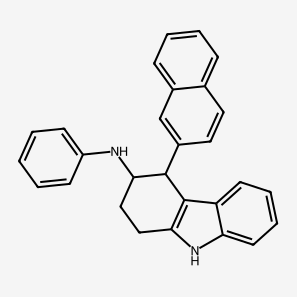 c1ccc(NC2CCc3[nH]c4ccccc4c3C2c2ccc3ccccc3c2)cc1